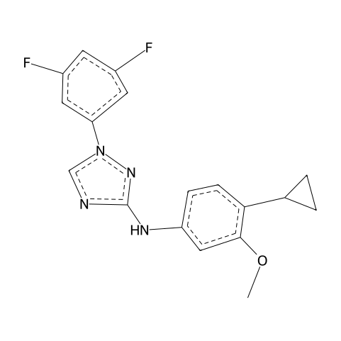 COc1cc(Nc2ncn(-c3cc(F)cc(F)c3)n2)ccc1C1CC1